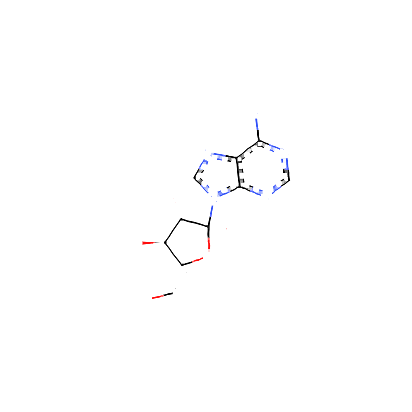 Nc1ncnc2c1ncn2[C@@]1(O)O[C@H](CO)[C@@H](O)[C@@H]1O